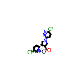 COC(=O)[C@@H]1CN(c2ccc(Cl)nn2)C[C@H]1c1ccc(Cl)cn1